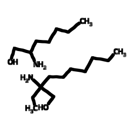 CCCCCC(N)CO.CCCCCCCC(N)(CC)CO